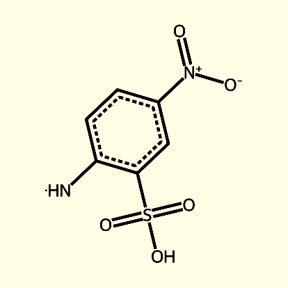 [NH]c1ccc([N+](=O)[O-])cc1S(=O)(=O)O